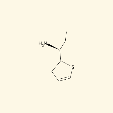 CC[C@H](N)C1CC=CS1